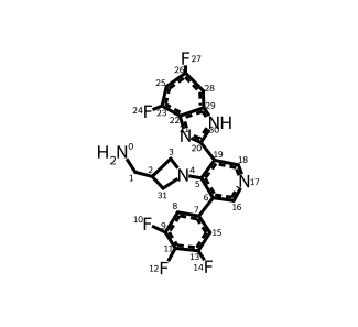 NCC1CN(c2c(-c3cc(F)c(F)c(F)c3)cncc2-c2nc3c(F)cc(F)cc3[nH]2)C1